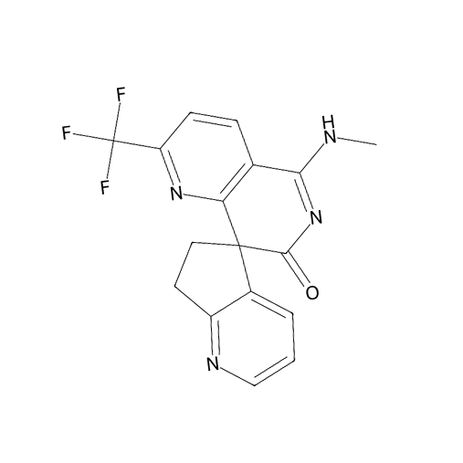 CNC1=NC(=O)C2(CCc3ncccc32)c2nc(C(F)(F)F)ccc21